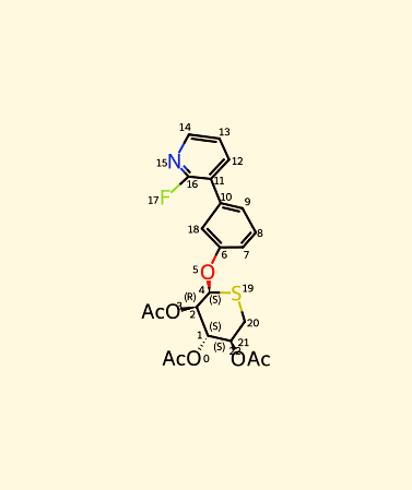 CC(=O)O[C@@H]1[C@@H](OC(C)=O)[C@@H](Oc2cccc(-c3cccnc3F)c2)SC[C@H]1OC(C)=O